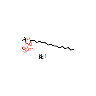 CCCCCCCCCCCCCCCC(OOP(=O)([O-])[O-])OC(C)(C)C.[Na+].[Na+]